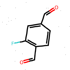 O=Cc1ccc(C=O)c(F)c1